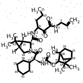 C=CCNC(=O)C(=O)C(CCC)NC(=O)[C@@H]1[C@@H]2[C@H](CN1C(=O)[C@@H](NC(=O)OC1C3(C)CCC(C3)C1(C)C)C1CCCCC1)C2(C)C